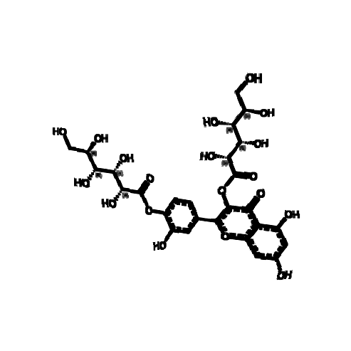 O=C(Oc1ccc(-c2oc3cc(O)cc(O)c3c(=O)c2OC(=O)[C@H](O)[C@@H](O)[C@H](O)[C@H](O)CO)cc1O)[C@H](O)[C@@H](O)[C@H](O)[C@H](O)CO